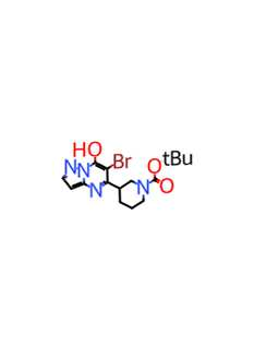 CC(C)(C)OC(=O)N1CCCC(c2nc3ccnn3c(O)c2Br)C1